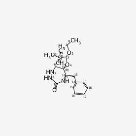 CCOC(O[C@@H]1CNNC(=O)N[C@@H]1Cc1ccccc1)[Si](C)(C)C